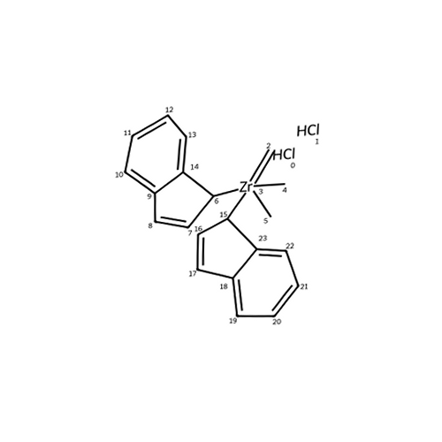 Cl.Cl.[CH2]=[Zr]([CH3])([CH3])([CH]1C=Cc2ccccc21)[CH]1C=Cc2ccccc21